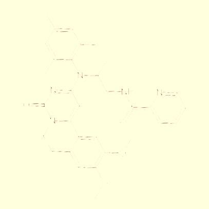 COc1cc2c(cc1OC)-c1cc(N(c3c(C)cc(C)cc3C)C(C)CNC(=O)c3ccccn3)nc(=O)n1CC2